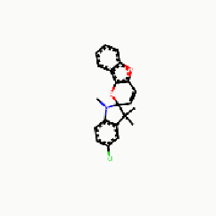 CN1c2ccc(Cl)cc2C(C)(C)C12C=Cc1oc3ccccc3c1O2